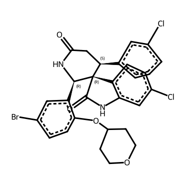 O=C1C[C@@H](c2cccc(Cl)c2)[C@]2(C(=O)Nc3cc(Cl)ccc32)[C@@H](c2cc(Br)ccc2OC2CCOCC2)N1